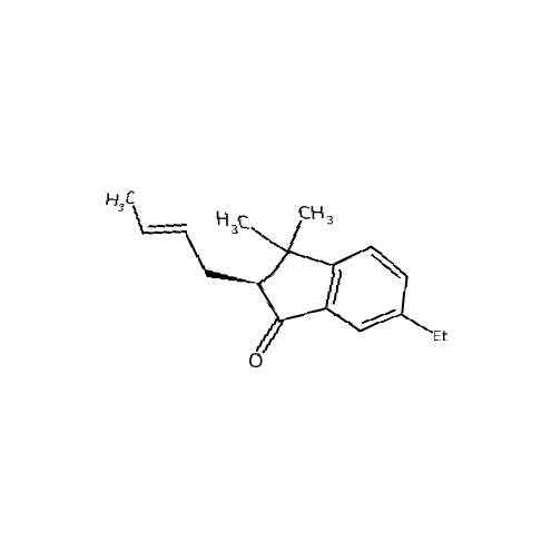 CC=CC[C@@H]1C(=O)c2cc(CC)ccc2C1(C)C